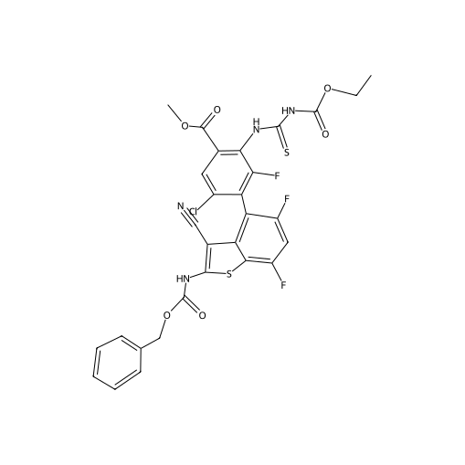 CCOC(=O)NC(=S)Nc1c(C(=O)OC)cc(Cl)c(-c2c(F)cc(F)c3sc(NC(=O)OCc4ccccc4)c(C#N)c23)c1F